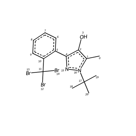 Cc1c(O)c(-c2ccccc2C(Br)(Br)Br)nn1C(C)(C)C